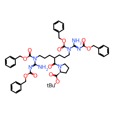 CC(C)(C)OC(=O)[C@@H]1CCCN1C(=O)C(CCCN(C(=O)OCc1ccccc1)C(N)=NC(=O)OCc1ccccc1)CCCN(C(=O)OCc1ccccc1)C(N)=NC(=O)OCc1ccccc1